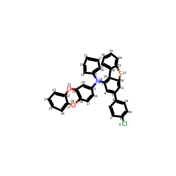 Clc1ccc(-c2cc(N(c3ccccc3)c3ccc4c(c3)Oc3ccccc3O4)c3c(c2)sc2ccccc23)cc1